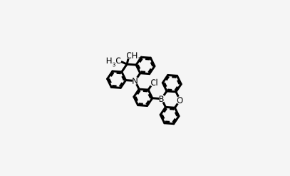 CC1(C)c2ccccc2N(c2cccc(B3c4ccccc4Oc4ccccc43)c2Cl)c2ccccc21